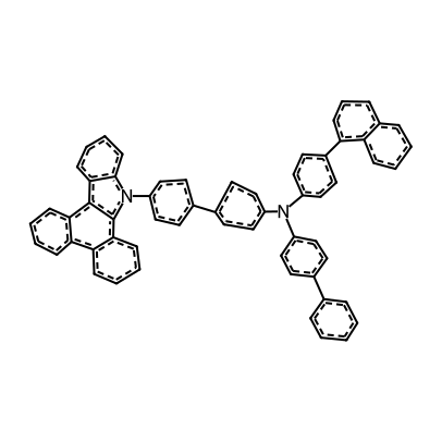 c1ccc(-c2ccc(N(c3ccc(-c4ccc(-n5c6ccccc6c6c7ccccc7c7ccccc7c65)cc4)cc3)c3ccc(-c4cccc5ccccc45)cc3)cc2)cc1